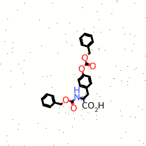 O=C(N[C@@H](Cc1ccc(OC(=O)OCc2ccccc2)cc1)C(=O)O)OCc1ccccc1